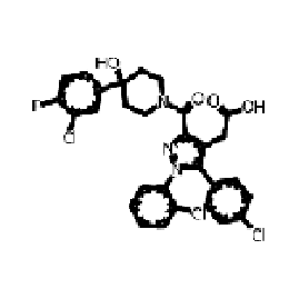 O=C(O)Cc1c(C(=O)N2CCC(O)(c3ccc(F)c(Cl)c3)CC2)nn(-c2ccccc2Cl)c1-c1ccc(Cl)cc1